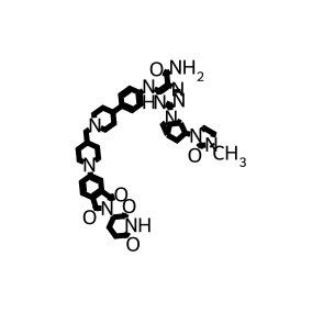 CN1CCN(C2CC3CC2N(c2nnc(C(N)=O)c(Nc4ccc(C5CCN(CC6CCN(c7ccc8c(c7)C(=O)N(C7CCC(=O)NC7=O)C8=O)CC6)CC5)cc4)n2)C3)C1=O